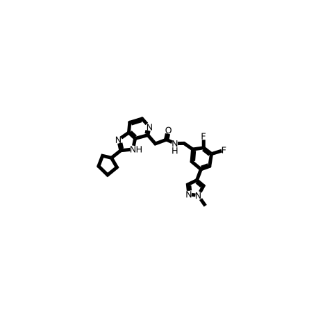 Cn1cc(-c2cc(F)c(F)c(CNC(=O)Cc3nccc4nc(C5CCCC5)[nH]c34)c2)cn1